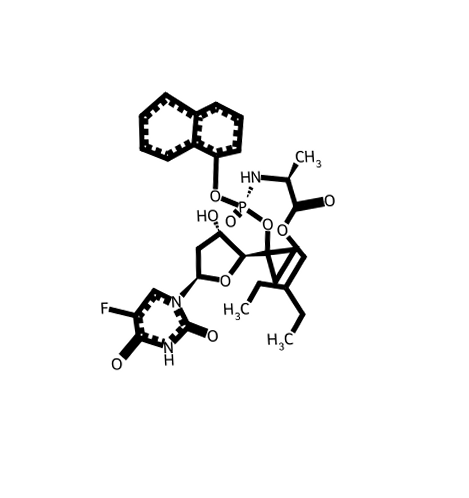 CCC(CC)COC(=O)[C@H](C)N[P@](=O)(Oc1cccc2ccccc12)OC1([C@H]2O[C@@H](n3cc(F)c(=O)[nH]c3=O)C[C@@H]2O)CC1